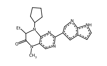 CCC1C(=O)N(C)c2cnc(-c3cnc4[nH]ccc4c3)nc2N1C1CCCC1